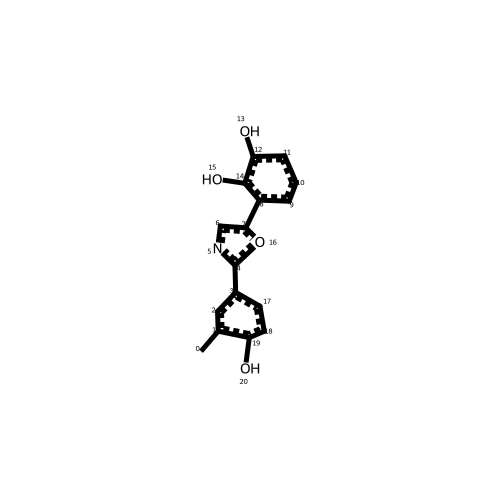 Cc1cc(-c2ncc(-c3cccc(O)c3O)o2)ccc1O